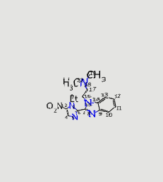 CCn1c([N+](=O)[O-])cnc1-c1nc2ccccc2n1CCN(C)C